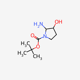 CC(C)(C)OC(=O)N1CCC(O)C1N